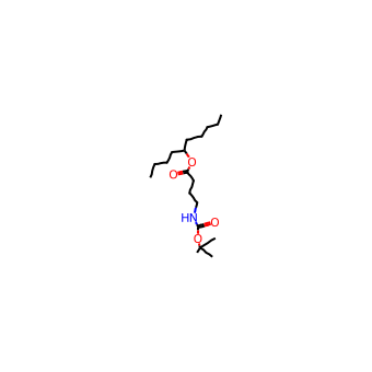 CCCCCC(CCCC)OC(=O)CCCNC(=O)OC(C)(C)C